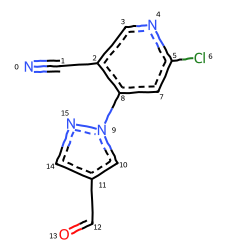 N#Cc1cnc(Cl)cc1-n1cc(C=O)cn1